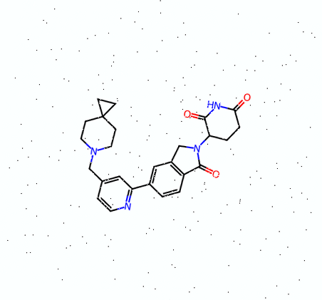 O=C1CCC(N2Cc3cc(-c4cc(CN5CCC6(CC5)CC6)ccn4)ccc3C2=O)C(=O)N1